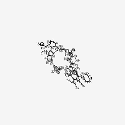 CCn1c(-c2cccnc2[C@H](C)OC)c2c3cc(ccc31)-c1csc(n1)C[C@H](NC(=O)[C@H](C(C)C)N(C)C(=O)N1CCOC[C@H]1C)C(=O)N1CCC[C@@](O)(N1)C(=O)OCC(C)(C)C2